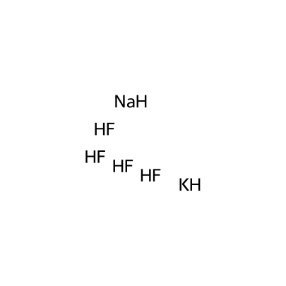 F.F.F.F.[KH].[NaH]